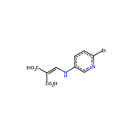 CCOC(=O)C(=CNc1ccc(CC)nc1)C(=O)OCC